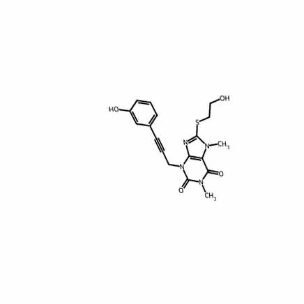 Cn1c(=O)c2c(nc(SCCO)n2C)n(CC#Cc2cccc(O)c2)c1=O